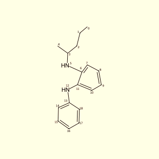 CCCC(C)Nc1ccccc1Nc1ccccc1